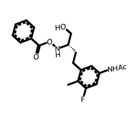 CC(=O)Nc1cc(F)c(C)c(CC[C@@H](CO)NOC(=O)c2ccccc2)c1